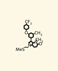 CSCCn1cc(-c2cc(C)cc(Oc3ccc(C(F)(F)F)cc3)c2)c2c1ccc(=O)n2C